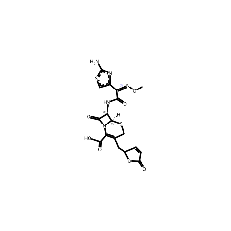 CO/N=C(\C(=O)N[C@@H]1C(=O)N2C(C(=O)O)=C(CC3C=CC(=O)O3)CS[C@H]12)c1csc(N)n1